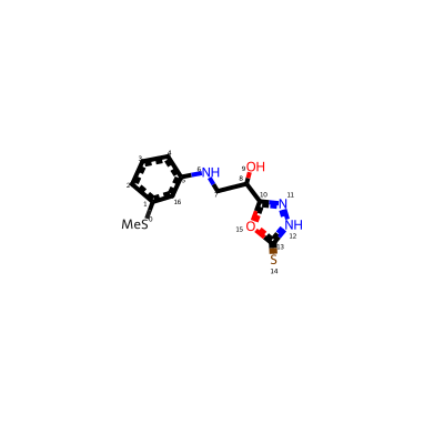 CSc1cccc(NCC(O)c2n[nH]c(=S)o2)c1